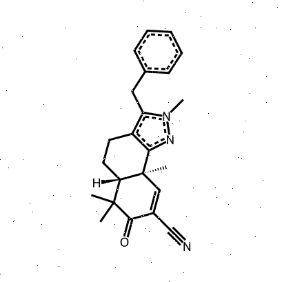 Cn1nc2c(c1Cc1ccccc1)CC[C@H]1C(C)(C)C(=O)C(C#N)=C[C@]21C